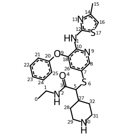 CCNC(=O)C(Sc1cnc(Nc2nc(C)cs2)c(Oc2ccccc2)c1)C1CCNCC1